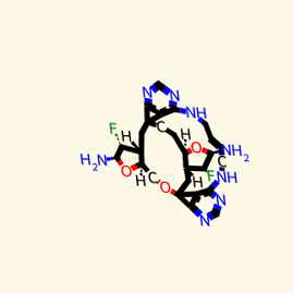 N[C@@H]1O[C@@H]2CCC34C[C@H]5[C@@H](F)[C@H](N)O[C@@H]5COC5(C[C@H]2[C@H]1F)c1ncnc(c15)NC/C=C/CNc1ncnc3c14